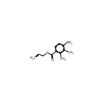 C=CCOC(=O)c1ccc(N)c(C)c1C